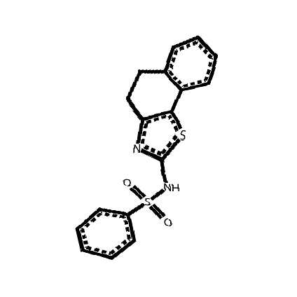 O=S(=O)(Nc1nc2c(s1)-c1ccccc1CC2)c1ccccc1